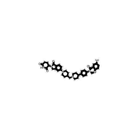 [2H]c1ccc2ncn(-c3ccc(C4CCN(CC5CCN(c6ccc7c(c6)CN(C6CCC(=O)NC6=O)C7=O)CC5)CC4)cc3)c(=O)c2c1